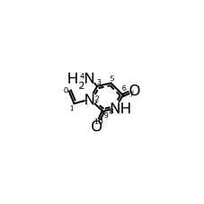 C=Cn1c(N)cc(=O)[nH]c1=O